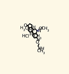 CNCCON=C1CC[C@@]2(C)C(C1)/C(=N/OC)C[C@@H]1[C@@H]2CC[C@]2(C)C(=O)CC[C@@H]12.Cl